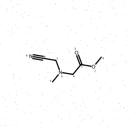 COC(=O)CN(C)CC#N